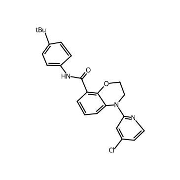 CC(C)(C)c1ccc(NC(=O)c2cccc3c2OCCN3c2cc(Cl)ccn2)cc1